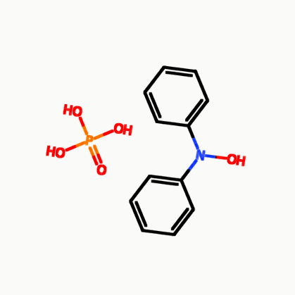 O=P(O)(O)O.ON(c1ccccc1)c1ccccc1